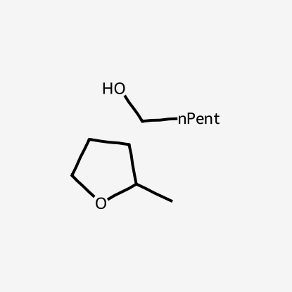 CC1CCCO1.CCCCCCO